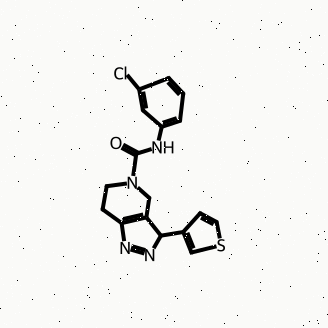 O=C(Nc1cccc(Cl)c1)N1CCC2=C(C1)C(c1ccsc1)N=N2